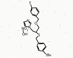 CC(C)(C)c1ccc(CSC(COCc2ccc(F)cc2)Cn2ccnc2)cc1.O=[N+]([O-])O